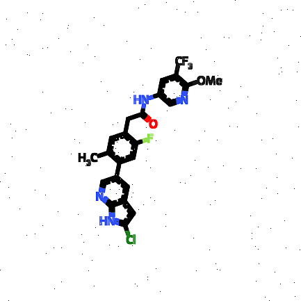 COc1ncc(NC(=O)Cc2cc(C)c(-c3cnc4[nH]c(Cl)cc4c3)cc2F)cc1C(F)(F)F